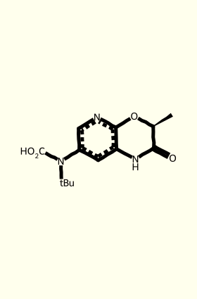 C[C@@H]1Oc2ncc(N(C(=O)O)C(C)(C)C)cc2NC1=O